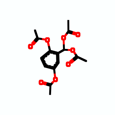 CC(=O)Oc1ccc(OC(C)=O)c(C(OC(C)=O)OC(C)=O)c1